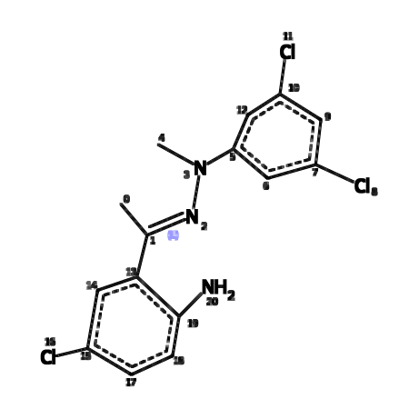 C/C(=N\N(C)c1cc(Cl)cc(Cl)c1)c1cc(Cl)ccc1N